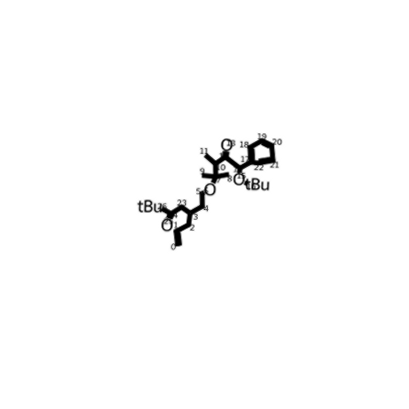 C=CCC(CCOC(C)(C)C(C)C(=O)C(OC(C)(C)C)c1ccccc1)CC(=O)C(C)(C)C